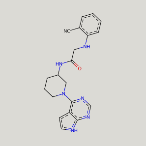 N#Cc1ccccc1NCC(=O)NC1CCCN(c2ncnc3[nH]ccc23)C1